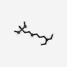 CCN(CC)CCCOCC[Si](C)(OC)OC